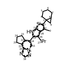 Cc1c(C23CCCCC2C3)sc2[nH]c(-c3cn4ncnc4c4c3CCC4)c(C(C)C)c12